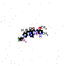 COc1cc(C)[nH]c(=O)c1CNC(=O)c1c(C)c([C@@H](C)C2CCN(CCC(F)(F)P)CC2)n2ncccc12